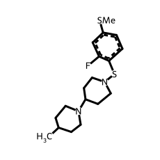 CSc1ccc(SN2CCC(N3CCC(C)CC3)CC2)c(F)c1